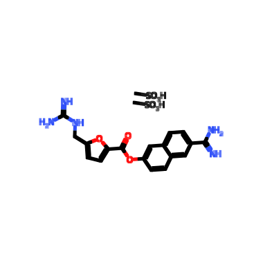 CS(=O)(=O)O.CS(=O)(=O)O.N=C(N)NCc1ccc(C(=O)Oc2ccc3cc(C(=N)N)ccc3c2)o1